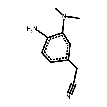 CN(C)c1cc(CC#N)ccc1N